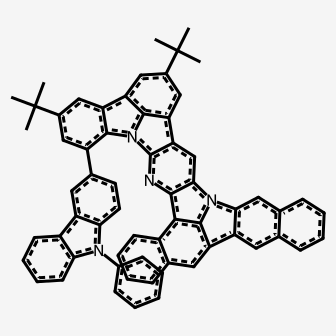 CC(C)(C)c1cc(-c2ccc3c(c2)c2ccccc2n3-c2ccccc2)c2c(c1)c1cc(C(C)(C)C)cc3c4cc5c(nc4n2c31)c1c2ccccc2cc2c3cc4ccccc4cc3n5c21